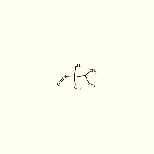 CC(C)C(C)(C)N=O